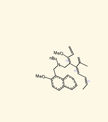 C=C\C(OC)=C(CN(CCCC)Cc1c(OC)ccc2ccccc12)/C(=C/C=C\C)C(=C)C